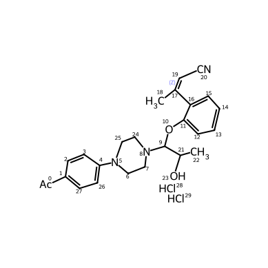 CC(=O)c1ccc(N2CCN(C(Oc3ccccc3/C(C)=C\C#N)C(C)O)CC2)cc1.Cl.Cl